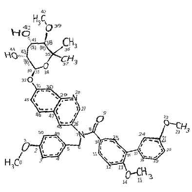 COc1ccc(CN(C(=O)c2ccc(OC)c(-c3cccc(OC)c3)c2)c2cnc3cc(O[C@@H]4OC(C)(C)[C@H](OC)[C@@H](O)[C@H]4O)ccc3c2)cc1